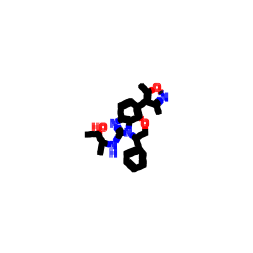 Cc1noc(C)c1-c1ccc2nc(NC(C)C(C)O)n3c2c1OCC3c1ccccc1